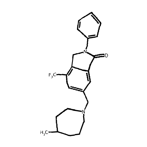 CC1CCCN(Cc2cc3c(c(C(F)(F)F)c2)CN(c2ccccc2)C3=O)CC1